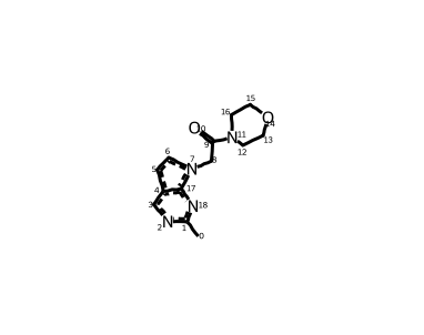 Cc1ncc2ccn(CC(=O)N3CCOCC3)c2n1